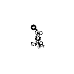 CCCC(=O)N(CC)C1CCN(C(=O)OCc2ccccc2)CC1